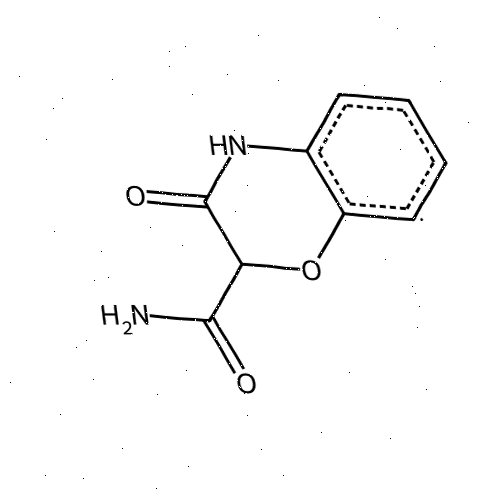 NC(=O)C1Oc2[c]cccc2NC1=O